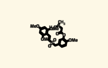 COc1cc(OC)c(/C=C/S(=O)(=O)Cc2ccc(OC)c(OC(=O)CN(C)C)c2)c(OC)c1